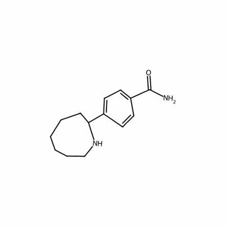 NC(=O)c1ccc(C2CCCCCCN2)cc1